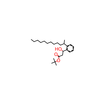 CCCCCCCCCCC(C)c1ccccc1C(O)CC(=O)OC(C)(C)C